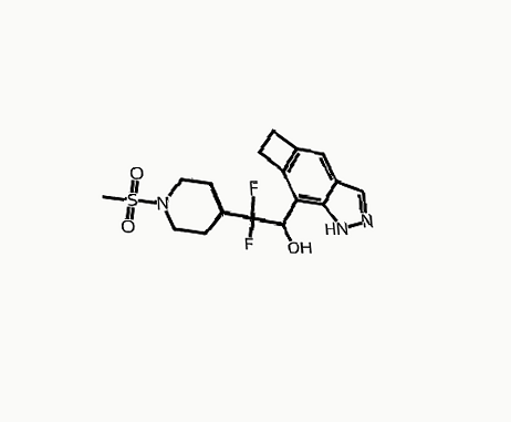 CS(=O)(=O)N1CCC(C(F)(F)C(O)c2c3c(cc4cn[nH]c24)CC3)CC1